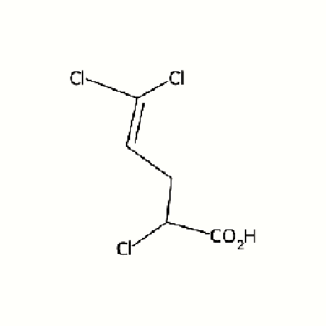 O=C(O)C(Cl)CC=C(Cl)Cl